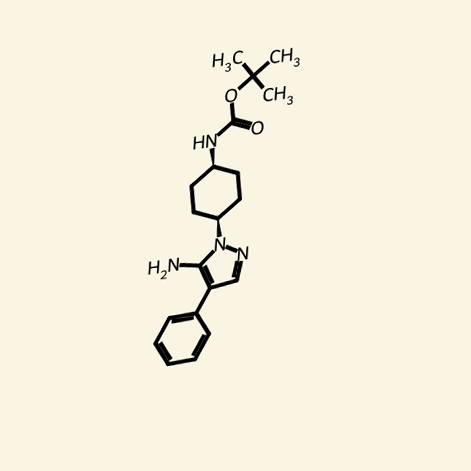 CC(C)(C)OC(=O)N[C@H]1CC[C@@H](n2ncc(-c3ccccc3)c2N)CC1